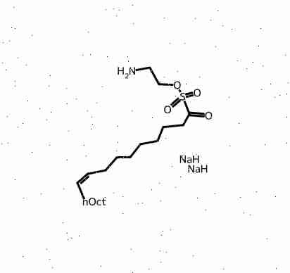 CCCCCCCC/C=C\CCCCCCCC(=O)S(=O)(=O)OCCN.[NaH].[NaH]